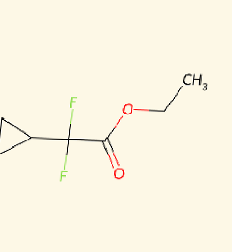 CCOC(=O)C(F)(F)C1CC1